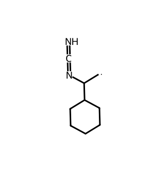 [CH2]C(N=C=N)C1CCCCC1